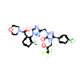 O=C(c1cccc(Cl)c1-n1cnc(Cn2nc(-c3ccc(Cl)cc3)n(C[C@H](O)C(F)(F)F)c2=O)n1)N1CCOCC1